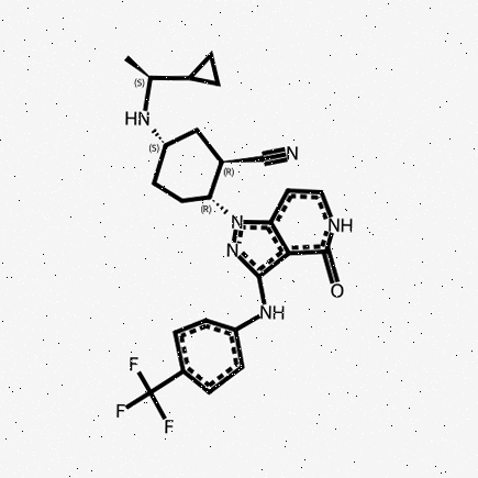 C[C@H](N[C@H]1CC[C@@H](n2nc(Nc3ccc(C(F)(F)F)cc3)c3c(=O)[nH]ccc32)[C@H](C#N)C1)C1CC1